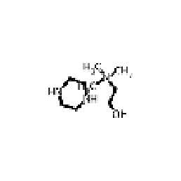 C1CNCCN1.C[N+](C)(C)CCO